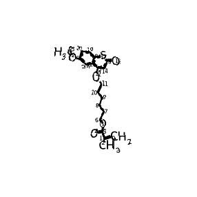 C=C(C)C(=O)OCCCCCCOc1cc(=O)sc2ccc(OC)cc12